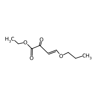 CCCOC=CC(=O)C(=O)OCC